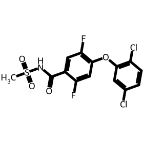 CS(=O)(=O)NC(=O)c1cc(F)c(Oc2cc(Cl)ccc2Cl)cc1F